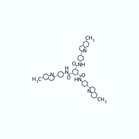 Cc1ccc2nc(-c3ccc(NC(=O)c4cc(C(=O)Nc5ccc(-c6ccc7cc(C)ccc7n6)cc5)cc(C(=O)Nc5ccc(-c6ccc7cc(C)ccc7n6)cc5)c4)cc3)ccc2c1